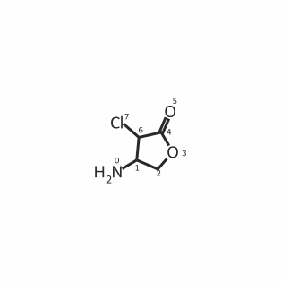 NC1COC(=O)C1Cl